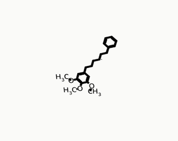 COc1cc(CCC[CH]CCc2ccccc2)cc(OC)c1OC